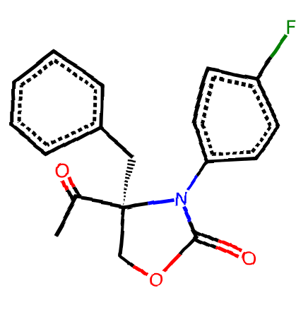 CC(=O)[C@]1(Cc2ccccc2)COC(=O)N1c1ccc(F)cc1